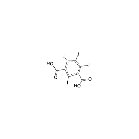 O=C(O)c1c(I)c(I)c(I)c(C(=O)O)c1I